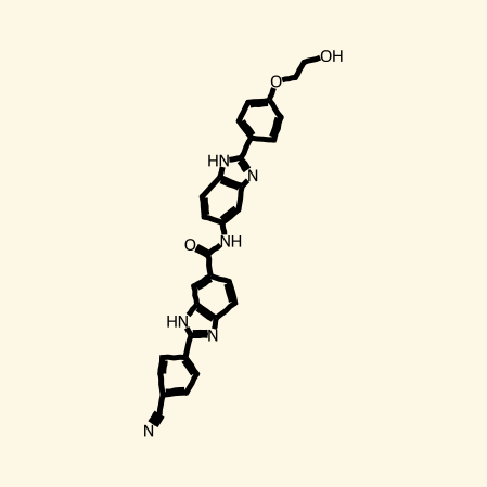 N#Cc1ccc(-c2nc3ccc(C(=O)Nc4ccc5[nH]c(-c6ccc(OCCO)cc6)nc5c4)cc3[nH]2)cc1